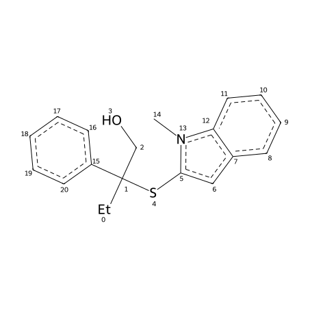 CCC(CO)(Sc1cc2ccccc2n1C)c1ccccc1